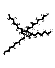 CCCCCCCCC[N+](CCCCCCCC)(CCCCCCCC)C(C)(C)CCCCCCCC